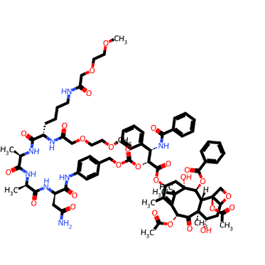 COCCOCC(=O)NCCCC[C@H](NC(=O)COCCOC)C(=O)N[C@H](C)C(=O)N[C@H](C)C(=O)N[C@H](CC(N)=O)C(=O)Nc1ccc(COC(=O)O[C@@H](C(=O)O[C@H]2C[C@@]3(O)[C@@H](OC(=O)c4ccccc4)[C@H]4[C@](C)(C(=O)[C@H](OC(C)=O)C(=C2C)C3(C)C)[C@@H](O)CC2OC[C@]24OC(C)=O)[C@@H](NC(=O)c2ccccc2)c2ccccc2)cc1